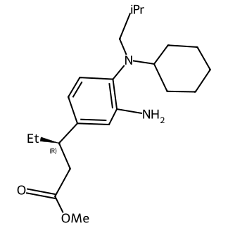 CC[C@H](CC(=O)OC)c1ccc(N(CC(C)C)C2CCCCC2)c(N)c1